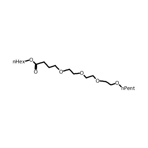 CCCCCCOC(=O)CCCOCCOCCOCCOCCCCC